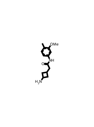 COc1cc(NC(=O)CC2CC(N)C2)ccc1C